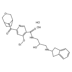 CCOc1cc(C(=O)N2C3CCC2COC3)ncc1C(=O)NCC(O)CNC1Cc2ccccc2C1.Cl.Cl